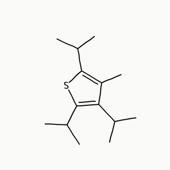 Cc1c(C(C)C)sc(C(C)C)c1C(C)C